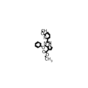 CCOC(=O)c1ccn2nc(-c3cccc(OC)n3)nc(Oc3ccccc3)c12